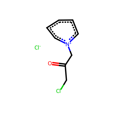 O=C(CCl)C[n+]1ccccc1.[Cl-]